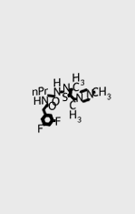 CCC[C@H](NC(=O)Cc1cc(F)cc(F)c1)C(=O)Nc1nc(C)c(C(C)N2CCN(C)CC2)s1